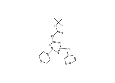 CC(C)(C)OC(=O)Nc1nc(Nc2ccccc2)nc(N2CCOCC2)n1